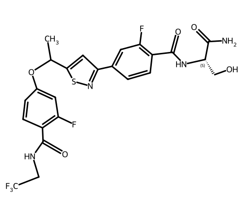 CC(Oc1ccc(C(=O)NCC(F)(F)F)c(F)c1)c1cc(-c2ccc(C(=O)N[C@@H](CO)C(N)=O)c(F)c2)ns1